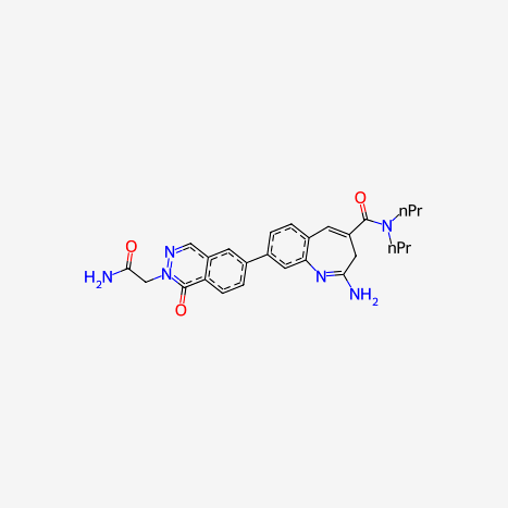 CCCN(CCC)C(=O)C1=Cc2ccc(-c3ccc4c(=O)n(CC(N)=O)ncc4c3)cc2N=C(N)C1